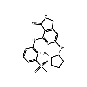 CS(=O)(=O)c1cccc(Nc2nc(N[C@@H]3CCC[C@@H]3N)cc3c2C(=O)NC3)c1